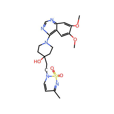 COc1cc2ncnc(N3CCC(O)(CCN4C=CC(C)=NS4(=O)=O)CC3)c2cc1OC